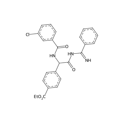 CCOC(=O)c1ccc(C(NC(=O)c2cccc(Cl)c2)C(=O)NC(=N)c2ccccc2)cc1